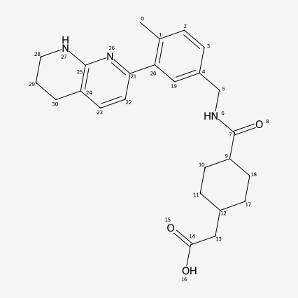 Cc1ccc(CNC(=O)C2CCC(CC(=O)O)CC2)cc1-c1ccc2c(n1)NCCC2